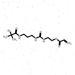 C=CC(=O)OCCNC(=O)NCCCNC(=O)C(C)(C)CC